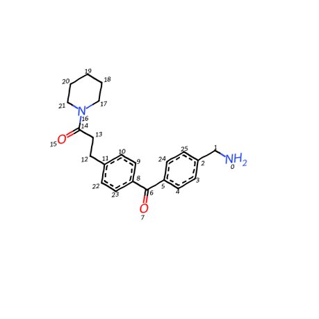 NCc1ccc(C(=O)c2ccc(CCC(=O)N3CCCCC3)cc2)cc1